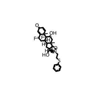 C[C@]12C=CC(=O)C=C1[C@@H](F)C[C@H]1[C@@H]3C[C@H]4CN(CCSc5ccccc5)O[C@@]4(C(=O)CO)[C@@]3(C)C[C@H](O)[C@@]12F